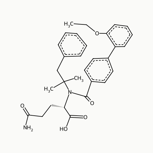 CCOc1ccccc1-c1ccc(C(=O)N([C@@H](CCC(N)=O)C(=O)O)C(C)(C)Cc2ccccc2)cc1